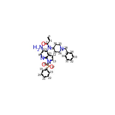 C=CC(=O)N(c1c(N)cnc2c1ccn2S(=O)(=O)c1ccccc1)C1CCN(Cc2ccccc2)CC1